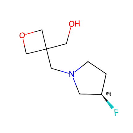 OCC1(CN2CC[C@@H](F)C2)COC1